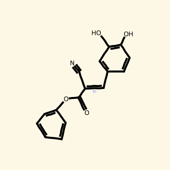 N#C/C(=C\c1ccc(O)c(O)c1)C(=O)Oc1ccccc1